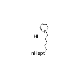 CCCCCCCCCCCCN1C=CC=CC1.I